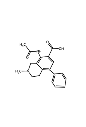 CC(=O)Nc1c(C(=O)O)cc(-c2ccccc2)c2c1CN(C)CC2